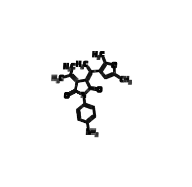 CC(C)=C1C(=O)N(c2ccc(N)cc2)C(=O)C1=C(C)c1cc(C)oc1C